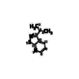 CC(C)c1nsc2ncccc12